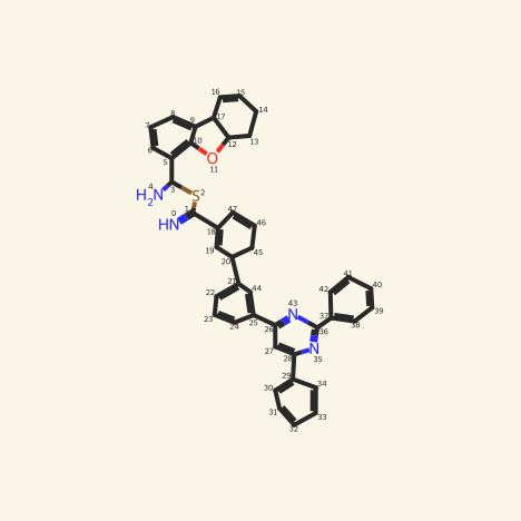 N=C(SC(N)c1cccc2c1OC1CCC=CC21)C1=CC(c2cccc(-c3cc(-c4ccccc4)nc(-c4ccccc4)n3)c2)CC=C1